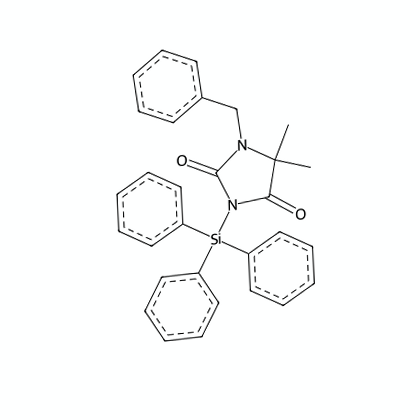 CC1(C)C(=O)N([Si](c2ccccc2)(c2ccccc2)c2ccccc2)C(=O)N1Cc1ccccc1